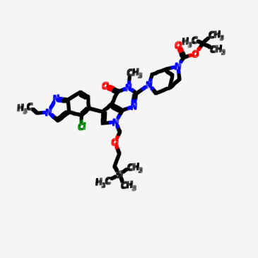 CCn1cc2c(Cl)c(-c3cn(COCC[Si](C)(C)C)c4nc(N5CC6CC(C5)N(C(=O)OC(C)(C)C)C6)n(C)c(=O)c34)ccc2n1